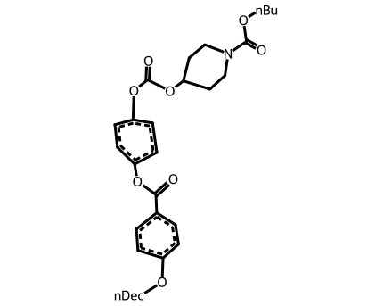 CCCCCCCCCCOc1ccc(C(=O)Oc2ccc(OC(=O)OC3CCN(C(=O)OCCCC)CC3)cc2)cc1